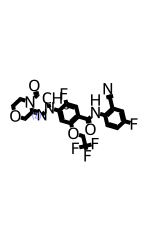 CN(/N=C1/COCCN1C=O)c1cc(OCC(F)(F)F)c(C(=O)Nc2ccc(F)cc2C#N)cc1F